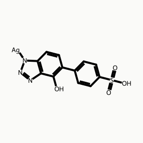 O=S(=O)(O)c1ccc(-c2ccc3c(nn[n]3[Ag])c2O)cc1